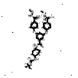 CONC(=N)c1ccc(Oc2cc(Oc3ccc(C(=N)NOC)cc3)cc(C(=O)NC3CCC(NC(=O)OC(C)(C)C)CC3)c2)cc1